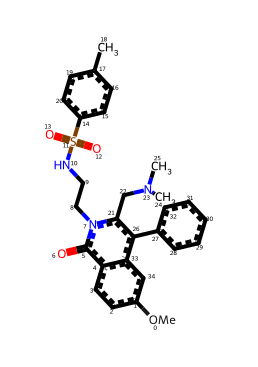 COc1ccc2c(=O)n(CCNS(=O)(=O)c3ccc(C)cc3)c(CN(C)C)c(-c3ccccc3)c2c1